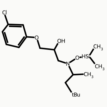 CC(CC(C)(C)C)N(CC(O)COc1cccc(Cl)c1)O[SiH](C)C